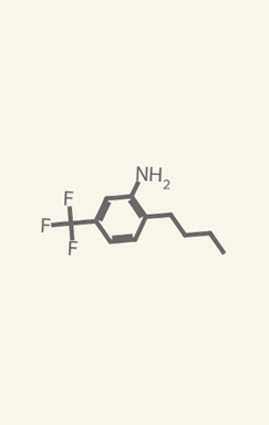 CCCCc1ccc(C(F)(F)F)cc1N